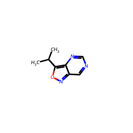 CC(C)c1onc2cncnc12